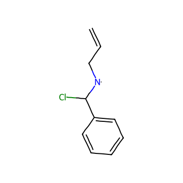 C=CC[N]C(Cl)c1ccccc1